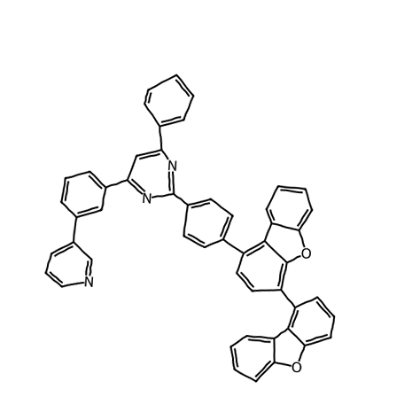 c1ccc(-c2cc(-c3cccc(-c4cccnc4)c3)nc(-c3ccc(-c4ccc(-c5cccc6oc7ccccc7c56)c5oc6ccccc6c45)cc3)n2)cc1